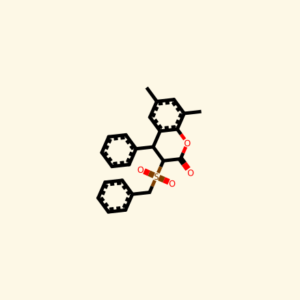 Cc1cc(C)c2c(c1)C(c1ccccc1)C(S(=O)(=O)Cc1ccccc1)C(=O)O2